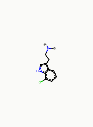 CCCN(CC)CCc1c[nH]c2c(Cl)cccc12